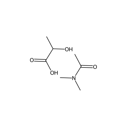 CC(=O)N(C)C.CC(O)C(=O)O